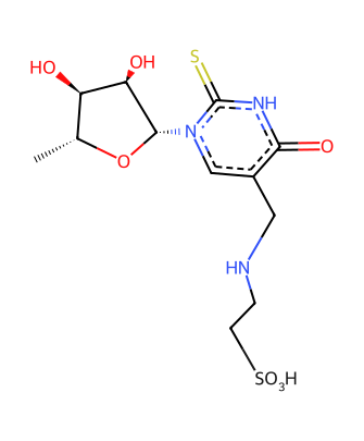 C[C@H]1O[C@@H](n2cc(CNCCS(=O)(=O)O)c(=O)[nH]c2=S)[C@H](O)[C@@H]1O